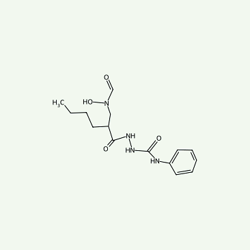 CCCCC(CN(O)C=O)C(=O)NNC(=O)Nc1ccccc1